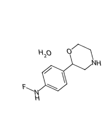 FNc1ccc(C2CNCCO2)cc1.O